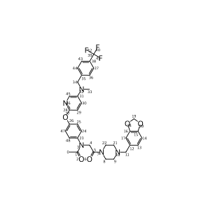 CC(=O)N(CC(=O)N1CCN(Cc2ccc3c(c2)OCO3)CC1)c1ccc(Oc2ccc(N(C)Cc3ccc(C(F)(F)F)cc3)cn2)cc1